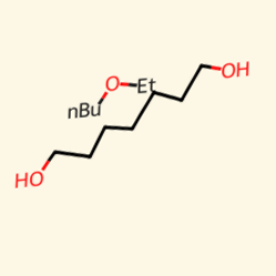 CCCCOCC.OCCCCCCCO